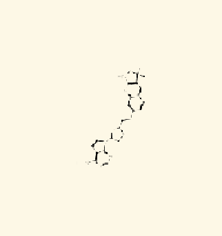 CC1(C)CNc2nc3cc(CCC4CCC(n5ccc6c(N)ncnc65)O4)ccc3cc21